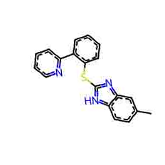 Cc1ccc2[nH]c(Sc3ccccc3-c3ccccn3)nc2c1